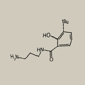 CC(C)(C)c1cccc(C(=O)NCCCN)c1O